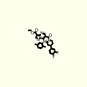 CCOC(=O)c1cnn2c(Nc3cc(C)ccc3C)c(C(=O)N3CCC(c4ccc(F)c(F)c4)CC3)cnc12